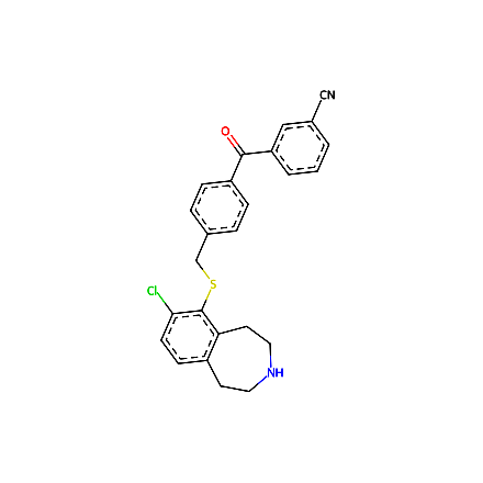 N#Cc1cccc(C(=O)c2ccc(CSc3c(Cl)ccc4c3CCNCC4)cc2)c1